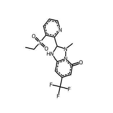 CCS(=O)(=O)c1cccnc1C1Nc2cc(C(F)(F)F)cc(=O)n2N1C